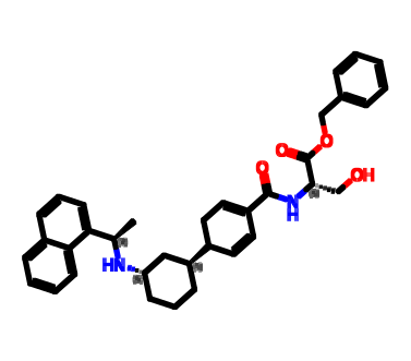 C[C@@H](N[C@H]1CCC[C@H](C2C=CC(C(=O)N[C@@H](CO)C(=O)OCc3ccccc3)=CC2)C1)c1cccc2ccccc12